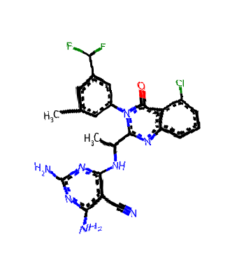 Cc1cc(C(F)F)cc(-n2c(C(C)Nc3nc(N)nc(N)c3C#N)nc3cccc(Cl)c3c2=O)c1